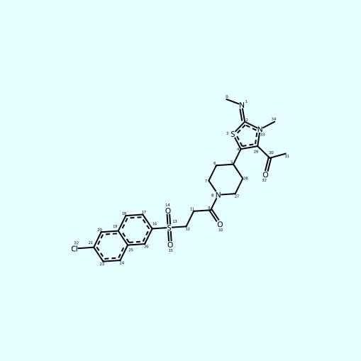 C/N=c1\sc(C2CCN(C(=O)CCS(=O)(=O)c3ccc4cc(Cl)ccc4c3)CC2)c(C(C)=O)n1C